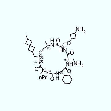 CCC[C@H]1C(=O)N[C@@H](C2CCCCC2)C(=O)N[C@@H](CN)C(=O)N[C@@H](CO[C@H]2C[C@H](N)C2)C(=O)N[C@H](C)CO[C@H](CC2CC3(CC(C)C3)C2)[C@@H](C)C(=O)N1C